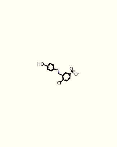 O=[N+]([O-])c1ccc(Cl)c(/C=N/c2ccc(O)cc2)c1